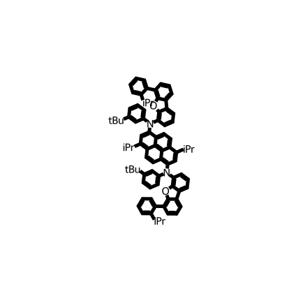 CC(C)c1ccccc1-c1cccc2c1oc1c(N(c3cccc(C(C)(C)C)c3)c3cc(C(C)C)c4ccc5c(N(c6cccc(C(C)(C)C)c6)c6cccc7c6oc6c(-c8ccccc8C(C)C)cccc67)cc(C(C)C)c6ccc3c4c65)cccc12